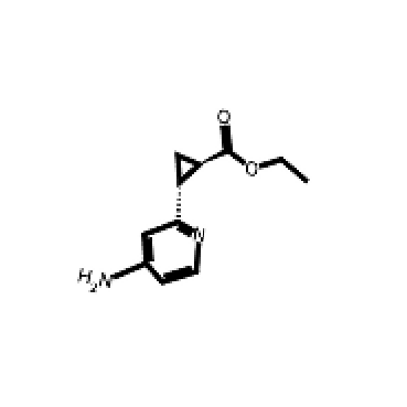 CCOC(=O)[C@@H]1C[C@H]1c1cc(N)ccn1